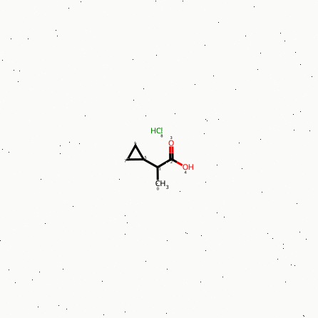 CC(C(=O)O)C1CC1.Cl